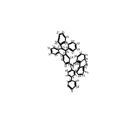 c1ccc(-c2ccc(N(c3ccc4c(c3)c(-c3ccccc3)c(-c3ccccc3)c3ccccc34)c3cccc4sc5ccccc5c34)cc2)cc1